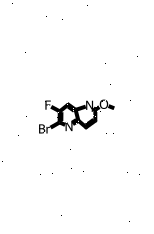 COc1ccc2nc(Br)c(F)cc2n1